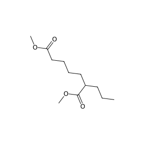 CCCC(CCCCC(=O)OC)C(=O)OC